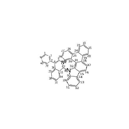 c1ccc(-c2cnc(-n3c4ccccc4c4ccc5c6ccccc6c6ccccc6c5c43)c3ccccc23)cc1